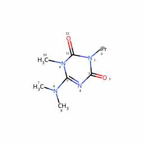 CC(C)n1c(=O)nc(N(C)C)n(C)c1=O